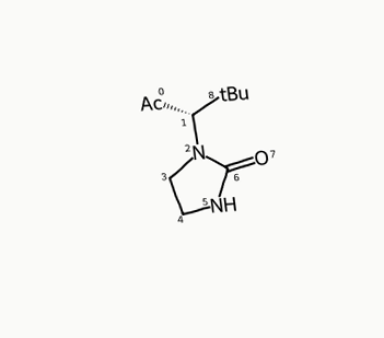 CC(=O)[C@@H](N1CCNC1=O)C(C)(C)C